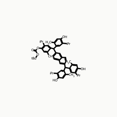 Cc1cc(O)c(C(C)C)cc1C(c1ccc2cc(C(c3cc(C(C)C)c(O)cc3C)c3cc(C(C)C)c(OC(=O)OC(C)(C)C)cc3C)ccc2c1)c1cc(C(C)C)c(O)cc1C